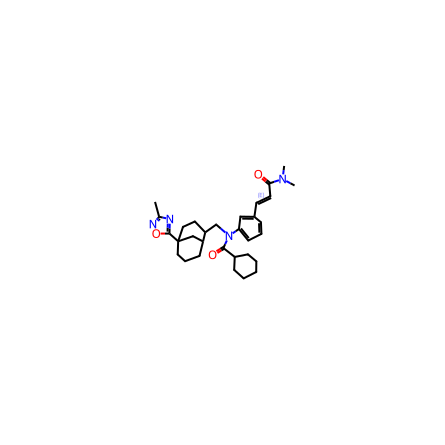 Cc1noc(C23CCCC(C2)C(CN(C(=O)C2CCCCC2)c2cccc(/C=C/C(=O)N(C)C)c2)CC3)n1